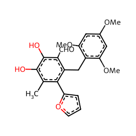 COc1cc(OC)c(Cc2c(C=O)c(O)c(O)c(C)c2-c2ccco2)c(OC)c1